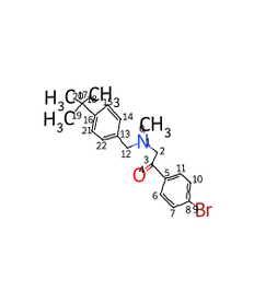 CN(CC(=O)c1ccc(Br)cc1)Cc1ccc(C(C)(C)C)cc1